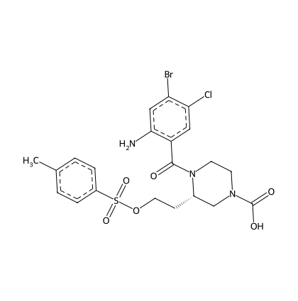 Cc1ccc(S(=O)(=O)OCC[C@H]2CN(C(=O)O)CCN2C(=O)c2cc(Cl)c(Br)cc2N)cc1